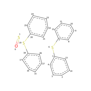 O=S.c1ccc(Sc2ccccc2)cc1.c1ccc(Sc2ccccc2)cc1